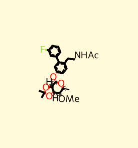 CO[C@@H]1[C@H]2OC(C)(C)O[C@H]2[C@H](Oc2ccc(CCNC(C)=O)c(-c3cccc(F)c3)c2)O[C@H]1C